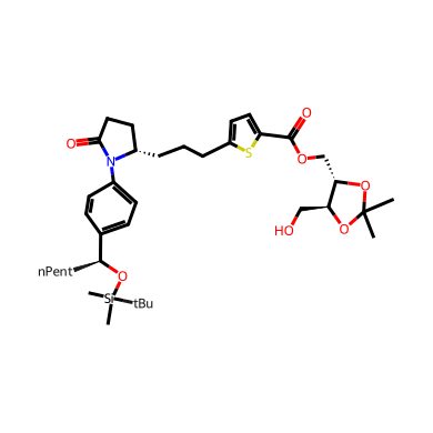 CCCCC[C@H](O[Si](C)(C)C(C)(C)C)c1ccc(N2C(=O)CC[C@@H]2CCCc2ccc(C(=O)OC[C@@H]3OC(C)(C)O[C@H]3CO)s2)cc1